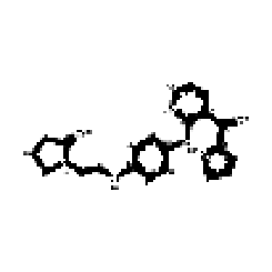 O=C(c1cccs1)c1cccnc1Oc1ccc(OCCN2CCCC2=O)cc1